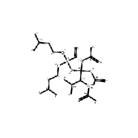 C=C[Si](OCCC(C)C)(OCCC(C)C)OC(OC(=C)C)(OC(=C)C)C(OC(=C)C)C(C)C